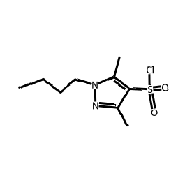 CCCCn1nc(C)c(S(=O)(=O)Cl)c1C